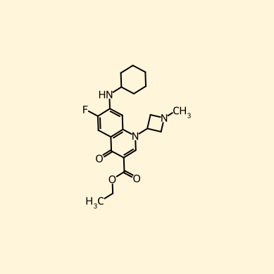 CCOC(=O)c1cn(C2CN(C)C2)c2cc(NC3CCCCC3)c(F)cc2c1=O